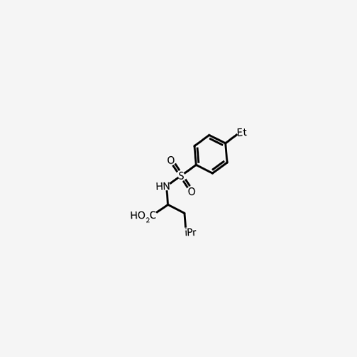 CCc1ccc(S(=O)(=O)NC(CC(C)C)C(=O)O)cc1